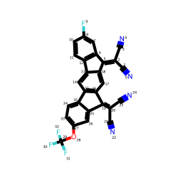 N#CC(C#N)=C1c2cc(F)ccc2-c2cc3c(cc21)C(=C(C#N)C#N)c1cc(OC(F)(F)F)ccc1-3